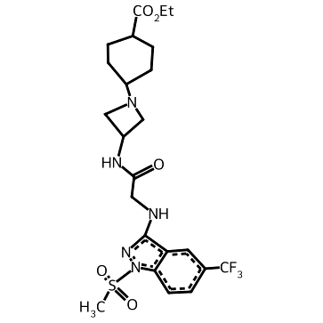 CCOC(=O)C1CCC(N2CC(NC(=O)CNc3nn(S(C)(=O)=O)c4ccc(C(F)(F)F)cc34)C2)CC1